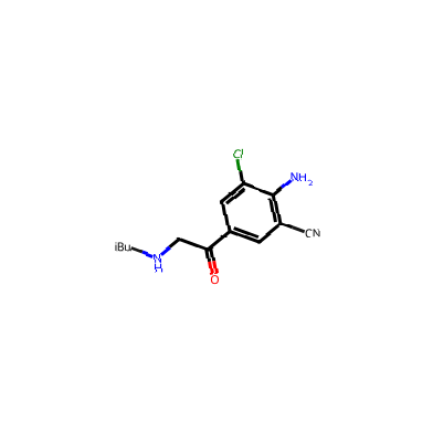 CCC(C)NCC(=O)c1cc(Cl)c(N)c(C#N)c1